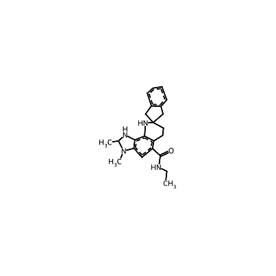 CCNC(=O)c1cc2c(c3c1CCC1(Cc4ccccc4C1)N3)NC(C)N2C